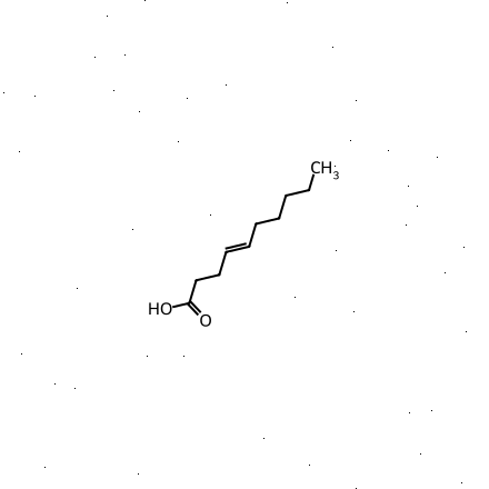 CCCCCC=CCCC(=O)O